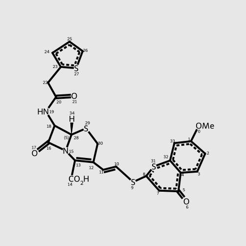 COc1ccc2c(=O)cc(SC=CC3=C(C(=O)O)N4C(=O)C(NC(=O)Cc5cccs5)[C@@H]4SC3)sc2c1